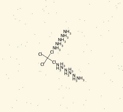 ClC(Cl)(Cl)Cl.N.N.N.N.N.N.N.N.N.N.N